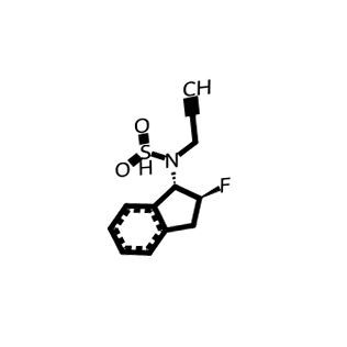 C#CCN([C@H]1c2ccccc2C[C@@H]1F)[SH](=O)=O